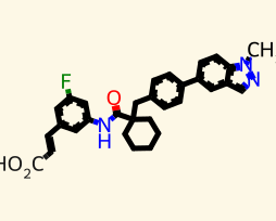 Cn1ncc2cc(-c3ccc(CC4(C(=O)Nc5cc(F)cc(/C=C/C(=O)O)c5)CCCCC4)cc3)ccc21